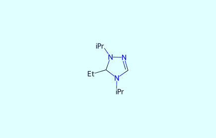 CCC1N(C(C)C)C=NN1C(C)C